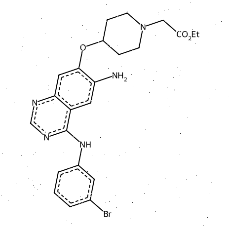 CCOC(=O)CN1CCC(Oc2cc3ncnc(Nc4cccc(Br)c4)c3cc2N)CC1